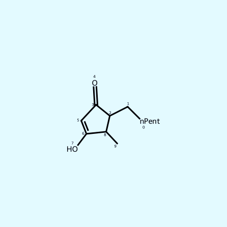 CCCCCCC1C(=O)C=C(O)C1C